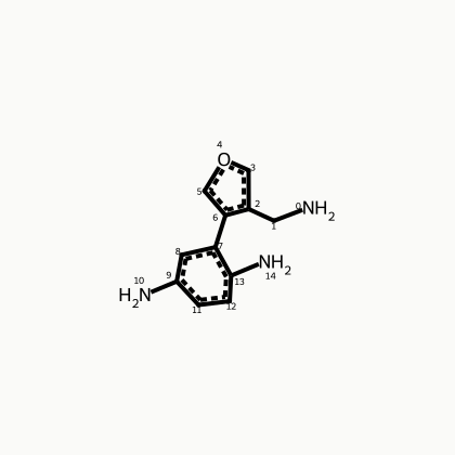 NCc1cocc1-c1cc(N)ccc1N